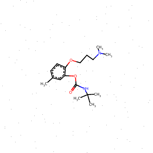 Cc1ccc(OCCCN(C)C)c(OC(=O)NC(C)(C)C)c1